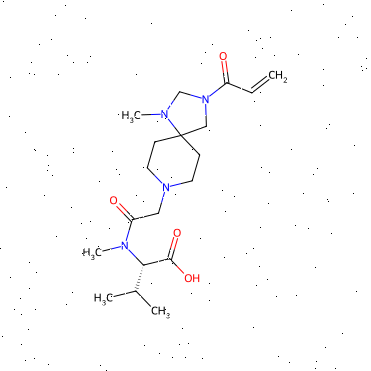 C=CC(=O)N1CN(C)C2(CCN(CC(=O)N(C)[C@H](C(=O)O)C(C)C)CC2)C1